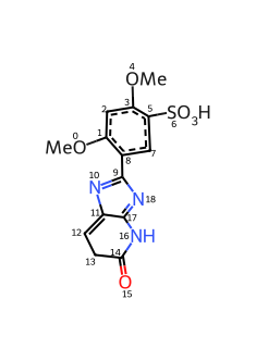 COc1cc(OC)c(S(=O)(=O)O)cc1C1=NC2=CCC(=O)NC2=N1